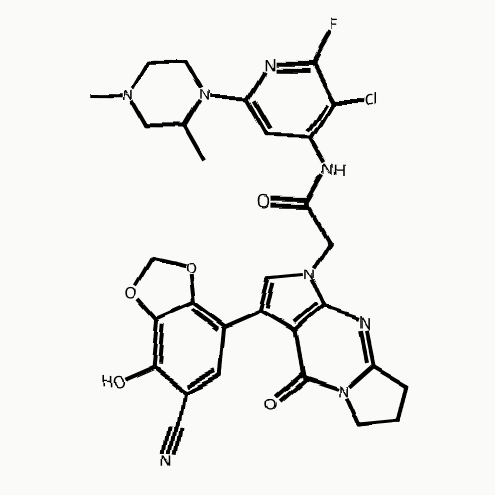 CC1CN(C)CCN1c1cc(NC(=O)Cn2cc(-c3cc(C#N)c(O)c4c3OCO4)c3c(=O)n4c(nc32)CCC4)c(Cl)c(F)n1